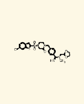 CN(CC1OCCO1)C(=N)c1ccc(CN2CCN(S(=O)(=O)c3cc4ccc(Cl)cc4s3)CC2=O)cc1